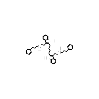 c1ccc(CCCNCCc2c(CCCCc3[nH]c4ccccc4c3CCNCCCc3ccccc3)[nH]c3ccccc23)cc1